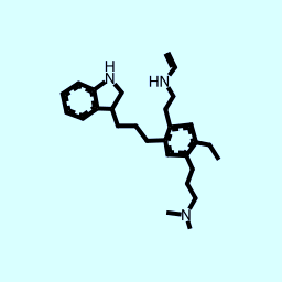 C=CNCCc1cc(CC)c(CCCN(C)C)cc1CCCC1CNc2ccccc21